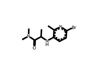 Cc1nc(Br)ccc1NC(C)C(=O)N(C)C